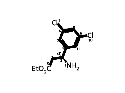 CCOC(=O)C[C@H](N)c1cc(Cl)cc(Cl)c1